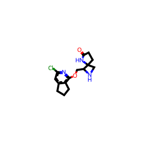 O=C1CCC2(CNC2COc2nc(Cl)cc3c2CCC3)N1